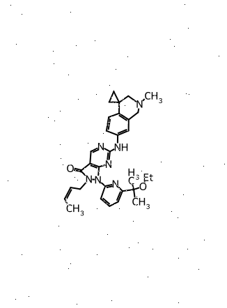 C/C=C\Cn1c(=O)c2cnc(Nc3ccc4c(c3)CN(C)CC43CC3)nc2n1-c1cccc(C(C)(C)OCC)n1